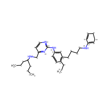 CCCC(CCC)NCc1ccnc(Nc2ccc(CC)c(CCCCNC3=CCCC=C3)c2)n1